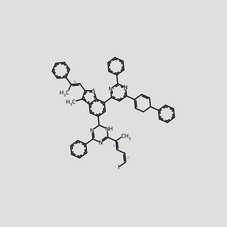 C/C(=C\C=C/I)C1=NC(c2ccccc2)=NC(c2cc(-c3cc(C4=CCC(c5ccccc5)C=C4)nc(-c4ccccc4)n3)c3sc(/C=C(\C)c4ccccc4)c(C)c3c2)N1